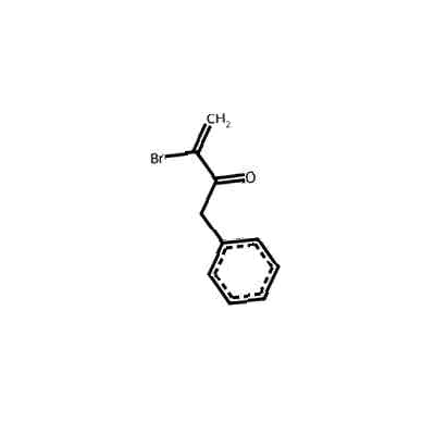 C=C(Br)C(=O)Cc1ccccc1